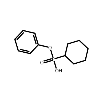 O=P(O)(Oc1ccccc1)C1CCCCC1